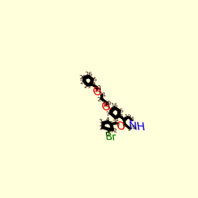 Brc1cccc(COC2CNCCC2c2ccc(OCCCOCc3ccccc3)cc2)c1